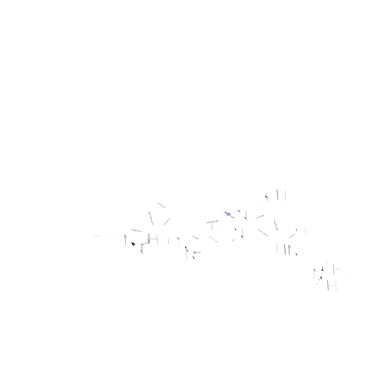 COc1cc(C(=O)NCCN(C)C)ccc1NC1=C/C=C/C2=C(/C=N\1)CCc1nn(C)c(Cc3cccc(-c4cnn(C)c4)c3)c12